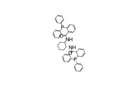 O=C(N[C@@H]1CCCC[C@H]1NC(=O)C1C=CC=CC1P(c1ccccc1)c1ccccc1)c1ccccc1P(c1ccccc1)c1ccccc1